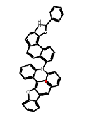 c1ccc(C2Nc3ccc4ccc5c(N(c6ccccc6)c6ccccc6-c6cccc7c6oc6ccccc67)cccc5c4c3S2)cc1